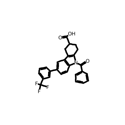 O=C(O)C1CCc2c(c3cc(-c4cccc(C(F)(F)F)c4)ccc3n2C(=O)c2ccccc2)C1